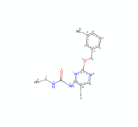 CCCSNC(=O)Nc1nc(OCc2cccc(C#N)c2)ncc1F